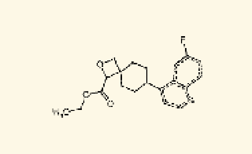 CCOC(=O)C1OCC12CCC(c1ccnc3ccc(F)cc13)CC2